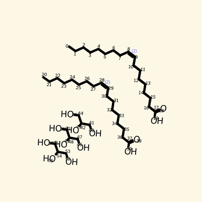 CCCCCCCC/C=C\CCCCCCCC(=O)O.CCCCCCCC/C=C\CCCCCCCC(=O)O.OCC(O)CO.OCC(O)CO.OCC(O)CO